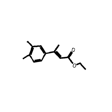 CCOC(=O)/C=C(\C)c1ccc(C)c(C)c1